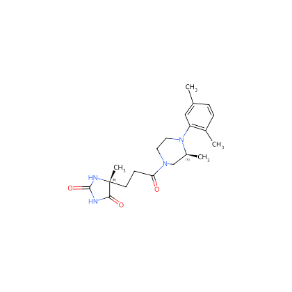 Cc1ccc(C)c(N2CCN(C(=O)CC[C@@]3(C)NC(=O)NC3=O)C[C@@H]2C)c1